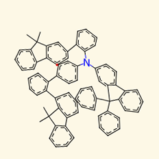 CC1(C)c2ccccc2-c2ccc(-c3ccccc3N(c3ccc(-c4ccccc4-c4cccc5c4C(C)(C)c4ccccc4-5)cc3)c3ccc4c(c3)C(c3ccccc3)(c3ccccc3)c3ccccc3-4)cc21